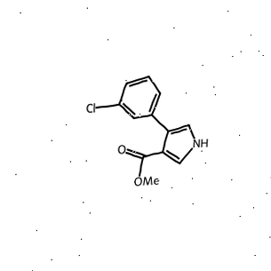 COC(=O)c1c[nH]cc1-c1cccc(Cl)c1